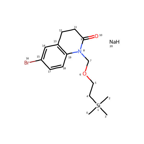 C[Si](C)(C)CCOCN1C(=O)CCc2cc(Br)ccc21.[NaH]